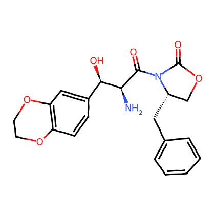 N[C@H](C(=O)N1C(=O)OC[C@@H]1Cc1ccccc1)[C@H](O)c1ccc2c(c1)OCCO2